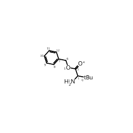 CC(C)(C)C(N)C(=O)OCc1ccccc1